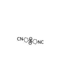 [C-]#[N+]C1CCC(S(=O)(=O)C2CCC([N+]#[C-])CC2)CC1